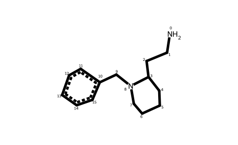 NCCC1CCCCN1Cc1ccccc1